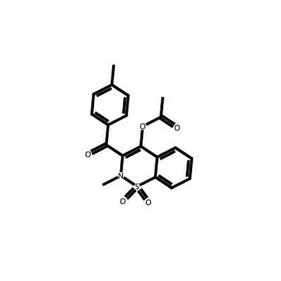 CC(=O)OC1=C(C(=O)c2ccc(C)cc2)N(C)S(=O)(=O)c2ccccc21